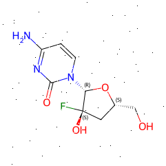 Nc1ccn([C@@H]2O[C@H](CO)C[C@]2(O)F)c(=O)n1